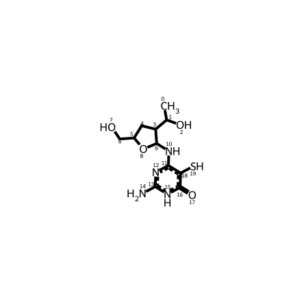 CC(O)C1CC(CO)OC1Nc1nc(N)[nH]c(=O)c1S